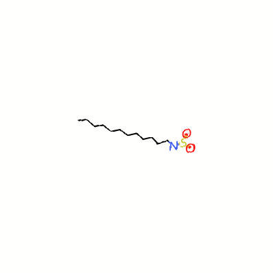 CCCCCCCCCCCCN=S(=O)=O